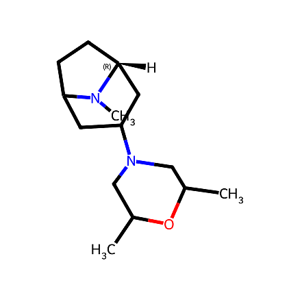 CC1CN(C2CC3CC[C@H](C2)N3C)CC(C)O1